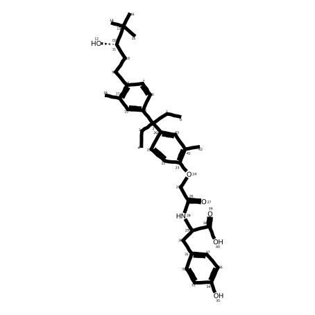 CCC(CC)(c1ccc(CC[C@H](O)C(C)(C)C)c(C)c1)c1ccc(OCC(=O)NC(Cc2ccc(O)cc2)C(=O)O)c(C)c1